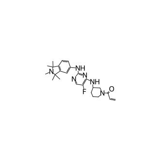 C=CC(=O)N1CCCC(Nc2nc(Nc3ccc4c(c3)C(C)(C)N(C)C4(C)C)ncc2F)C1